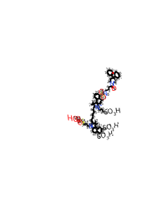 CN(CCCC(=O)N1CCC(c2ccccc2)(c2ccccc2)CC1)S(=O)(=O)c1cccc2c3c(ccc12)[N+](CCCS(=O)(=O)O)=C(/C=C/C=C/C=C1/N(CCCSOOO)c2ccc4c(S(=O)(=O)O)cc(S(=O)(=O)O)cc4c2C1(C)C)C3(C)C